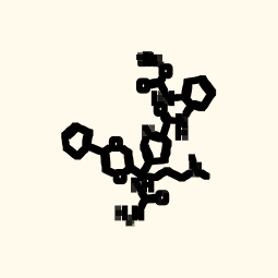 CN(C)CCCC(NC(N)=O)(C1=COC(C2=CC=CCC2)=CO1)c1ccc(C(=O)Nc2ccccc2NC(=O)OC(C)(C)C)nc1